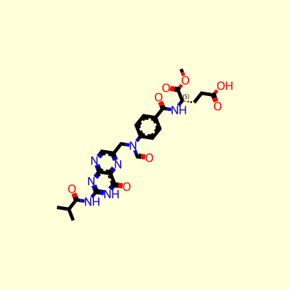 COC(=O)[C@H](CCC(=O)O)NC(=O)c1ccc(N(C=O)Cc2cnc3nc(NC(=O)C(C)C)[nH]c(=O)c3n2)cc1